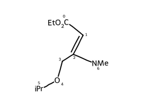 CCOC(=O)C=C(COC(C)C)NC